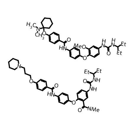 CCC(CC)NC(=O)Nc1ccc(Oc2ccc(NC(=O)c3ccc(OC4(N(C)C)CCCCC4)cc3)cc2)c(OC)c1.CCC(CC)NC(=O)Nc1ccc(Oc2ccc(NC(=O)c3ccc(OCCCN4CCCCC4)cc3)cc2)c(C(=O)NC)c1